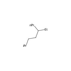 [CH2]C(C)CCC(CC)CCC